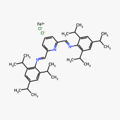 CC(C)c1cc(C(C)C)c(N=Cc2cccc(C=Nc3c(C(C)C)cc(C(C)C)cc3C(C)C)n2)c(C(C)C)c1.[Cl-].[Cl-].[Fe+2]